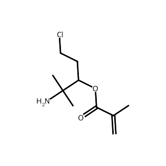 C=C(C)C(=O)OC(CCCl)C(C)(C)N